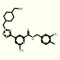 Cc1cc(-c2nnn(CC3CCC(CO)CC3)n2)cc(C(=O)NCc2ccc(F)c(C(F)(F)F)c2)n1